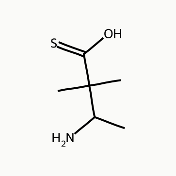 CC(N)C(C)(C)C(O)=S